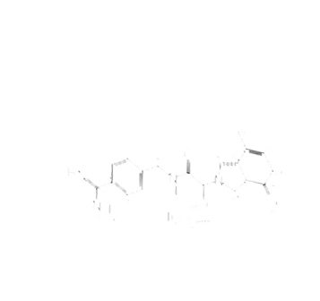 CC(=O)O.CCOC(C(=O)NCc1ccc(C(=N)N)cc1)N1C=C2C(C)=CCC(=O)C2C1